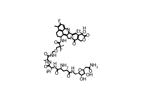 CC[C@@]1(O)C(=O)OCc2c1cc1n(c2=O)Cc2c-1nc1cc(F)c(C)c3c1c2[C@@H](NC(=O)[C@](C)(F)COCNC(=O)[C@H](C)NC(=O)[C@@H](NC(=O)[C@@H](N)CCC(=O)NC[C@H]1O[C@@H](CC(N)=O)[C@H](O)[C@@H]1O)C(C)C)CC3